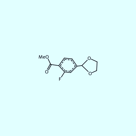 COC(=O)c1ccc(C2OCCO2)cc1F